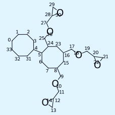 C1CCCC(C2CCC(COCC3CO3)CC(COCC3CO3)CC2COCC2CO2)CCC1